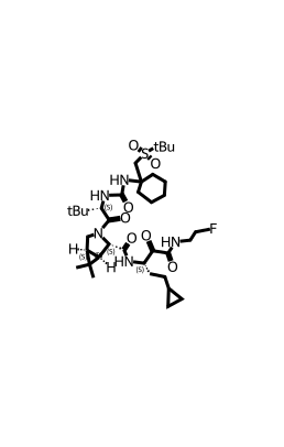 CC(C)(C)[C@H](NC(=O)NC1(CS(=O)(=O)C(C)(C)C)CCCCC1)C(=O)N1C[C@H]2[C@@H]([C@H]1C(=O)N[C@@H](CCC1CC1)C(=O)C(=O)NCCF)C2(C)C